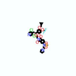 CS(=O)(=O)N(CCN1CCCC1)c1ccc2c(c1)C(=O)N(CC(=O)O[C@@H](Cc1c(Cl)cncc1Cl)c1ccc(OC(F)F)c(OCC3CC3)c1)C2=O